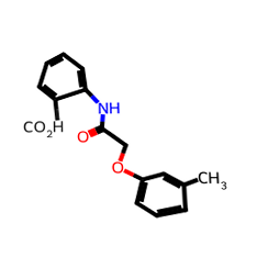 Cc1cccc(OCC(=O)Nc2ccccc2C(=O)O)c1